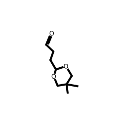 CC1(C)COC(CCC=O)OC1